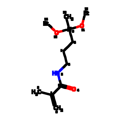 C=C(C)C(=O)NCCC[Si](C)(OCC)OCC